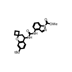 COC(=O)n1ncc2c(NC(=O)NC3CC4(CCC4)Oc4cc(C(C)(C)C)ccc43)cccc21